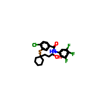 O=C(Nc1cc(F)c(F)c(F)c1)c1ccc(Cl)c(SC2(CCCO)CCCCC2)c1